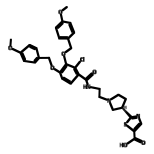 COc1ccc(COc2ccc(C(=O)NCCN3CC[C@@H](c4ncc(C(=O)O)s4)C3)c(Cl)c2OCc2ccc(OC)cc2)cc1